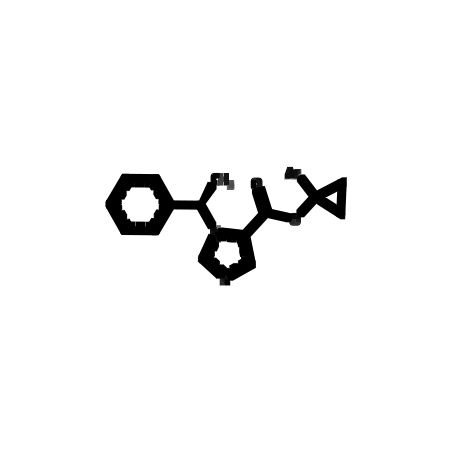 CC(=O)C1(OC(=O)c2cncn2[C@H](C)c2ccccc2)CC1